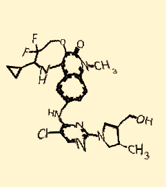 C[C@H]1CN(c2ncc(Cl)c(Nc3ccc4c(c3)c3c(c(=O)n4C)OCC(F)(F)C(C4CC4)N3)n2)C[C@H]1CO